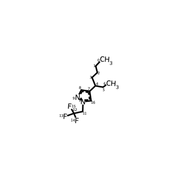 CCCCC(CC)c1cnn(CC(F)(F)F)c1